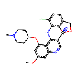 COc1cc(OC2CCN(C)CC2)c2c(Nc3c(Cl)ccc4c3OOC4)c(C#N)cnc2c1